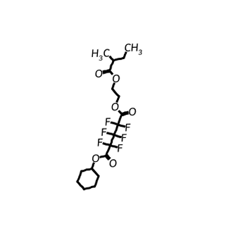 CCC(C)C(=O)OCCOC(=O)C(F)(F)C(F)(F)C(F)(F)C(=O)OC1CCCCC1